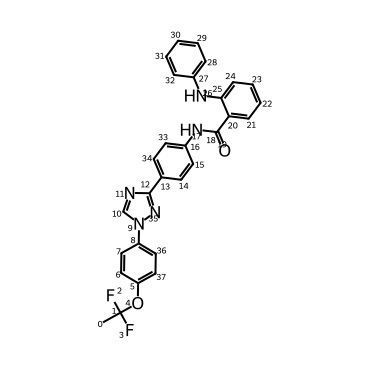 CC(F)(F)Oc1ccc(-n2cnc(-c3ccc(NC(=O)c4ccccc4Nc4ccccc4)cc3)n2)cc1